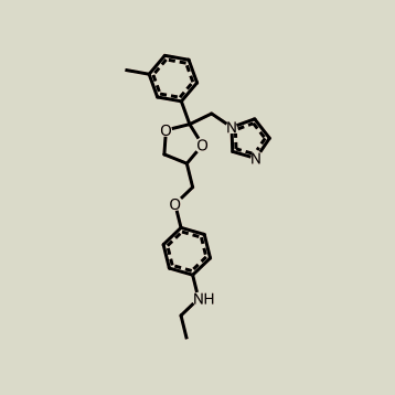 CCNc1ccc(OCC2COC(Cn3ccnc3)(c3cccc(C)c3)O2)cc1